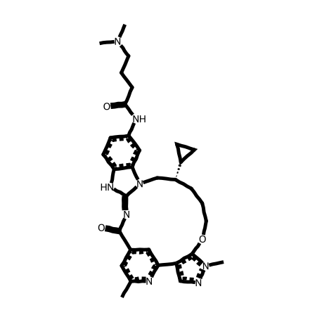 Cc1cc2cc(n1)-c1cnn(C)c1OCCC[C@@H](C1CC1)CN1/C(=N/C2=O)Nc2ccc(NC(=O)CCCN(C)C)cc21